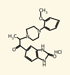 COc1ccccc1N1CCN(C(C)C(=O)c2ccc3[nH]c(=O)[nH]c3c2)CC1.Cl